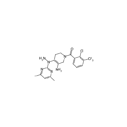 Cc1cc(C)nc(N(N)C2=C(N)CN(C(=O)c3cccc(C(F)(F)F)c3Cl)CC2)n1